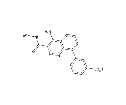 CCCNC(=O)c1nnc2c(-c3cccc(C(=O)O)c3)cccc2c1N